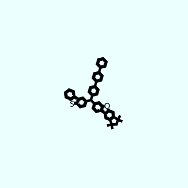 CC1(C)CC(C)(C)c2cc3c(cc21)oc1cc(C(c2ccc(-c4ccc(-c5ccccc5)cc4)cc2)c2ccc4sc5ccccc5c4c2)ccc13